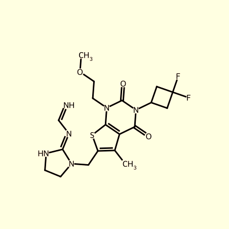 COCCn1c(=O)n(C2CC(F)(F)C2)c(=O)c2c(C)c(CN3CCN/C3=N\C=N)sc21